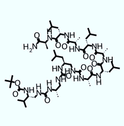 CC(C)C[C@@H](CNC(=O)N[C@@H](C)C(=O)N[C@@H](CC(C)C)C(=O)N[C@@H](C)C(=O)N[C@@H](CC(C)C)C(=O)N[C@@H](C)C(=O)N[C@@H](CC(C)C)C(=O)N[C@@H](C)C(N)=O)NC(=O)NC[C@H](C)NC(=O)NC[C@@H](NC(=O)OC(C)(C)C)C(C)C